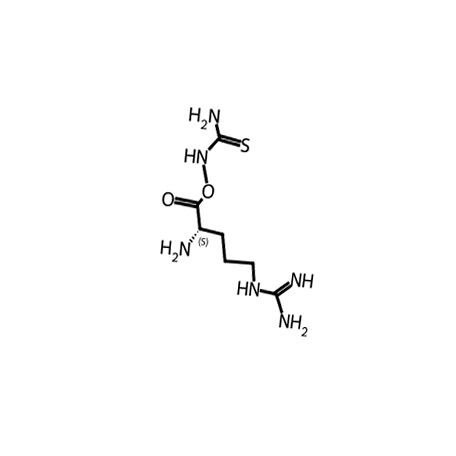 N=C(N)NCCC[C@H](N)C(=O)ONC(N)=S